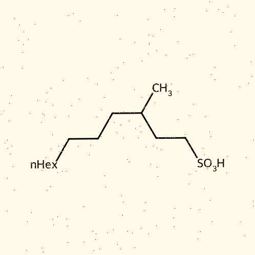 CCCCCCCCCC(C)CCS(=O)(=O)O